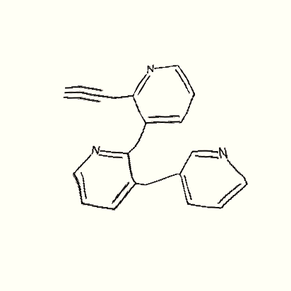 C#Cc1ncccc1-c1ncccc1-c1cccnc1